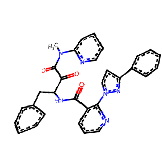 CN(C(=O)C(=O)C(Cc1ccccc1)NC(=O)c1cccnc1-n1ccc(-c2ccccc2)n1)c1ccccn1